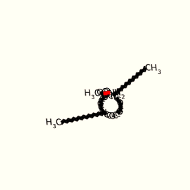 CCCCCCCCCCCCCCCCCCN1CCOCCOCCOCCN(CCCCCCCCCCCCCCCCCC)CC(C(N)=O)(C(=O)COC)OCCOCC1